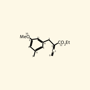 C=C=C(Cc1cc(C)cc(OC)c1)C(=O)OCC